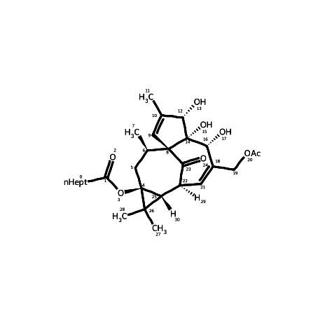 CCCCCCCC(=O)O[C@@]12C[C@@H](C)[C@]34C=C(C)[C@H](O)[C@@]3(O)[C@H](O)C(COC(C)=O)=C[C@H](C4=O)[C@@H]1C2(C)C